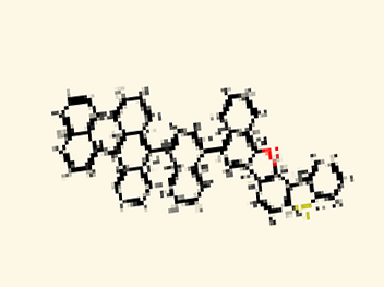 c1ccc2c(-c3c4ccccc4c(-c4ccc(-c5cc6c7ccc8sc9ccccc9c8c7oc6c6ccccc56)c5ccccc45)c4ccccc34)cccc2c1